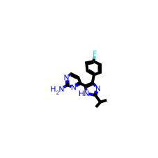 CC(C)c1nc(-c2ccc(F)cc2)c(-c2ccnc(N)n2)[nH]1